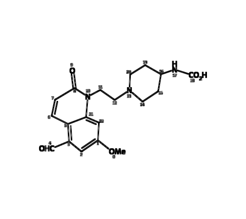 COc1cc(C=O)c2ccc(=O)n(CCN3CCC(NC(=O)O)CC3)c2c1